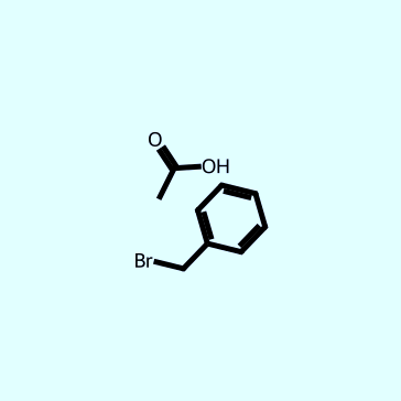 BrCc1ccccc1.CC(=O)O